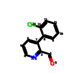 O=Cc1ncccc1-c1ccccc1Cl